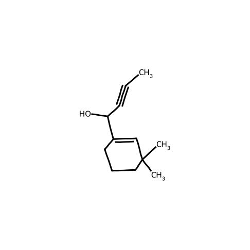 CC#CC(O)C1=CC(C)(C)CCC1